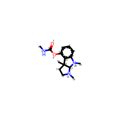 CNC(=O)Oc1cccc2c1C1(C)CCN(C)C1N2C